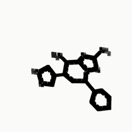 Nc1nc2c(N)c(-c3cn[nH]c3)cc(-c3ccccc3)n2n1